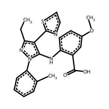 CCc1nn(-c2ccccc2C)c(Nc2ccc(OC)cc2C(=O)O)c1-c1nccs1